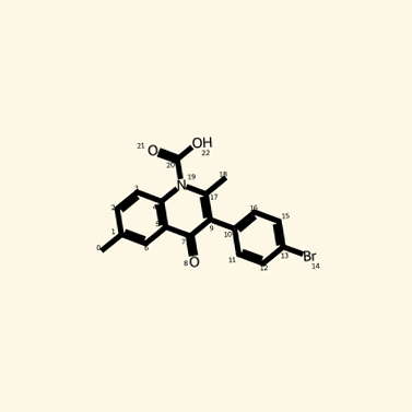 Cc1ccc2c(c1)c(=O)c(-c1ccc(Br)cc1)c(C)n2C(=O)O